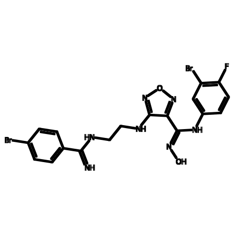 N=C(NCCNc1nonc1/C(=N/O)Nc1ccc(F)c(Br)c1)c1ccc(Br)cc1